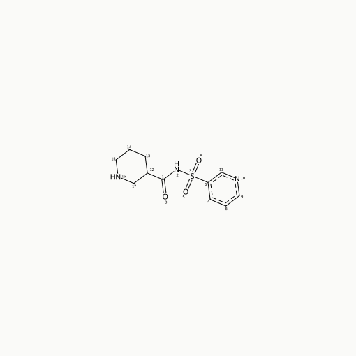 O=C(NS(=O)(=O)c1cccnc1)C1CCCNC1